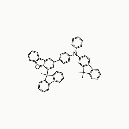 CC1(C)c2ccccc2-c2ccc(N(c3ccccc3)c3ccc(-c4cc(C5(C)c6ccccc6-c6ccccc65)c5oc6ccccc6c5c4)cc3)cc21